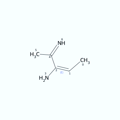 C/C=C(/N)C(C)=N